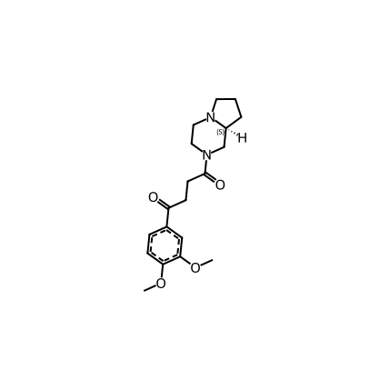 COc1ccc(C(=O)CCC(=O)N2CCN3CCC[C@H]3C2)cc1OC